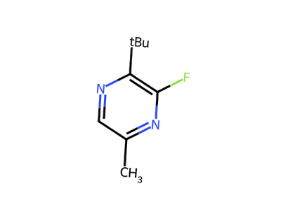 Cc1cnc(C(C)(C)C)c(F)n1